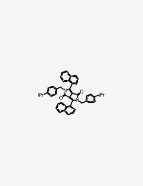 CC(C)c1ccc(CN2C(=O)C3=C(c4cccc5ccccc45)N(Cc4ccc(C(C)C)cc4)C(=O)C3=C2c2cccc3ccccc23)cc1